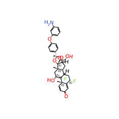 C[C@]12C=CC(=O)C=C1[C@@H](F)C[C@H]1C3C[C@H]4O[C@@H](c5ccc(Oc6cccc(N)c6)cc5)O[C@@]4(C(=O)CO)[C@@]3(C)C[C@H](O)[C@@]12F